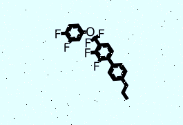 CCCc1ccc(-c2ccc(C(F)(F)Oc3ccc(F)c(F)c3)c(F)c2F)cc1